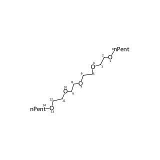 CCCCCOCCOCCOCCOCCOCCCCC